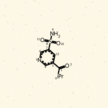 CC(C)C(=O)c1cncc(S(N)(=O)=O)c1